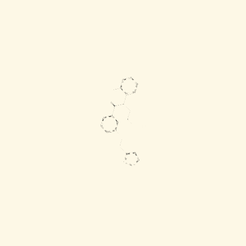 Cc1ccccc1C(CCC(=O)O)C(=O)c1cccc(OCc2ccsn2)c1